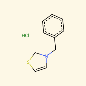 C1=CN(Cc2ccccc2)CS1.Cl